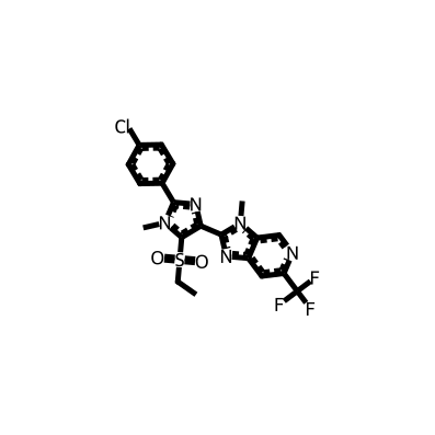 CCS(=O)(=O)c1c(-c2nc3cc(C(F)(F)F)ncc3n2C)nc(-c2ccc(Cl)cc2)n1C